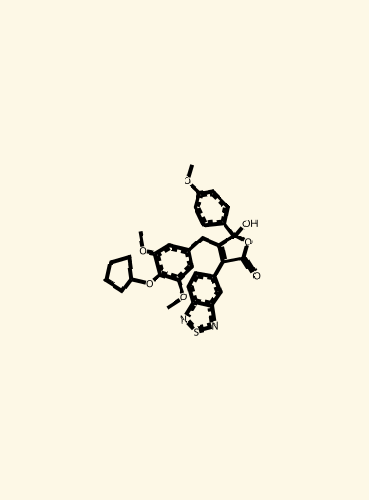 COc1ccc(C2(O)OC(=O)C(c3ccc4nsnc4c3)=C2Cc2cc(OC)c(OC3CCCC3)c(OC)c2)cc1